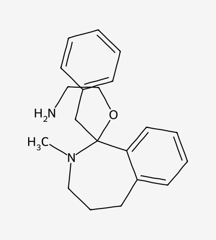 CN1CCCc2ccccc2C1(Cc1ccccc1)OCCN